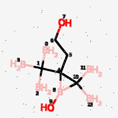 BC(B)(B)C1(CCO)B(O)C1(B)B